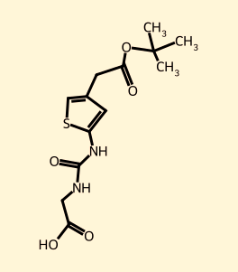 CC(C)(C)OC(=O)Cc1csc(NC(=O)NCC(=O)O)c1